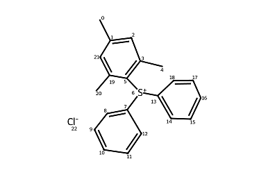 Cc1cc(C)c([S+](c2ccccc2)c2ccccc2)c(C)c1.[Cl-]